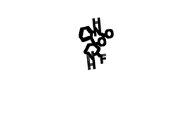 O=C1Nc2ccccc2C2(CCNC(F)C2)O1